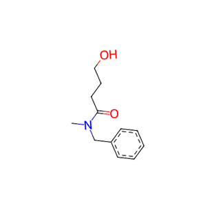 CN(Cc1ccccc1)C(=O)CCCO